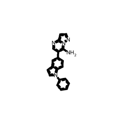 Nc1c(-c2ccc3c(ccn3-c3ccccc3)c2)cnc2ccnn12